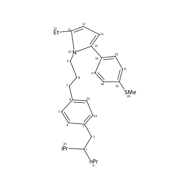 CCCC(Cc1ccc(CCCn2c(CC)ccc2-c2ccc(SC)cc2)cc1)C(C)C